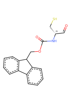 O=C[C@@H](CS)NC(=O)OCC1c2ccccc2-c2ccccc21